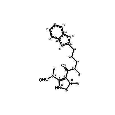 CN(C=O)C1=C(C(=O)N(C)CCCc2nc3ccccc3s2)N(C)CN1